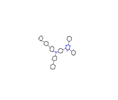 c1ccc(-c2ccc(-c3ccc(N(c4ccc(-c5ccccc5)cc4)c4ccc(-c5nc(-c6ccccc6)nc(-c6ccccc6)n5)cc4)cc3)cc2)cc1